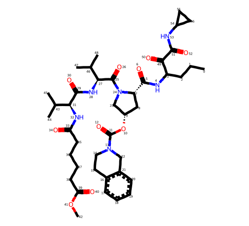 CCCC(NC(=O)[C@@H]1C[C@H](OC(=O)N2CCc3ccccc3C2)CN1C(=O)[C@@H](NC(=O)[C@@H](NC(=O)CCCCC(=O)OC)C(C)C)C(C)C)C(=O)C(=O)NC1CC1